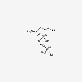 NCCCCO.O=P(O)(O)O.O=P(O)(O)O